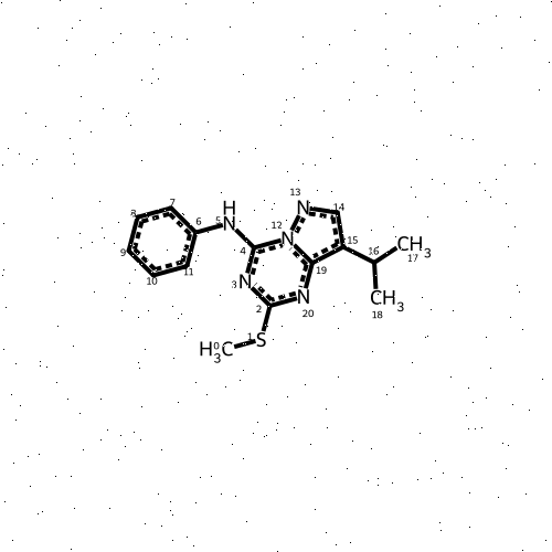 CSc1nc(Nc2ccccc2)n2ncc(C(C)C)c2n1